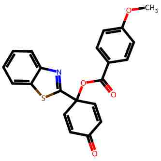 COc1ccc(C(=O)OC2(c3nc4ccccc4s3)C=CC(=O)C=C2)cc1